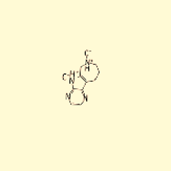 [CH2-][NH+]1CCCC2=C(C1)[NH+]([CH2-])c1nccnc12